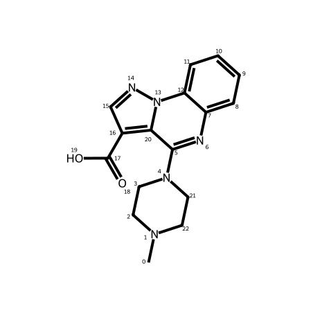 CN1CCN(c2nc3ccccc3n3ncc(C(=O)O)c23)CC1